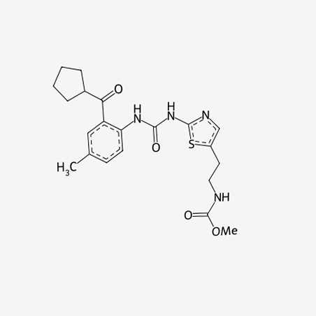 COC(=O)NCCc1cnc(NC(=O)Nc2ccc(C)cc2C(=O)C2CCCC2)s1